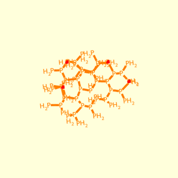 PP(P)P(P)P(P(PP(P(P(P(P)P)P(P)P)P(P(P)P)P(P)P)P(P(P(P)P)P(P)P)P(P(P)P)P(P)P)P(P(P)P)P(P)P)P(P(P)P)P(P)P